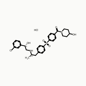 C[C@H](Cc1ccc(S(=O)(=O)c2ccc(C(=O)N3CCC(O)CC3)cc2)cc1)NC[C@@H](O)c1cccc(Cl)c1.Cl